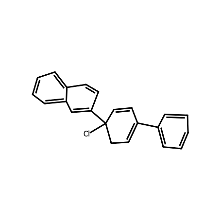 ClC1(c2ccc3ccccc3c2)C=CC(c2ccccc2)=CC1